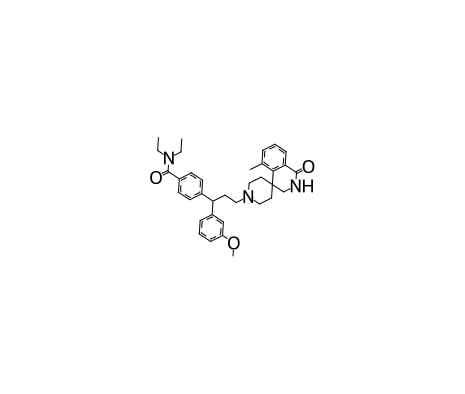 CCN(CC)C(=O)c1ccc(C(CCN2CCC3(CC2)CNC(=O)c2cccc(C)c23)c2cccc(OC)c2)cc1